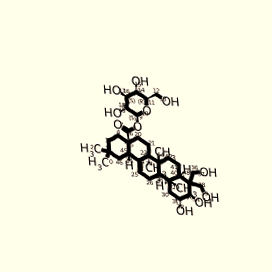 CC1(C)CC[C@]2(C(=O)O[C@@H]3O[C@H](CO)[C@@H](O)[C@H](O)[C@H]3O)CC[C@]3(C)C(=CC[C@@H]4[C@@]5(C)C[C@@H](O)[C@H](O)C(CO)(CO)[C@@H]5CC[C@]43C)[C@@H]2C1